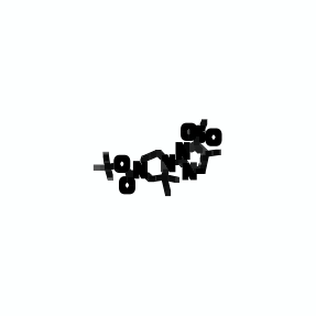 Cc1cnc(N2CCN(C(=O)OC(C)(C)C)CC2(C)C)nc1S(C)(=O)=O